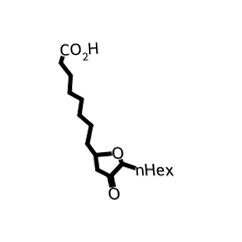 CCCCCCC1OC(CCCCCCCC(=O)O)CC1=O